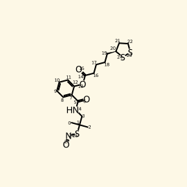 CC(C)(CNC(=O)c1ccccc1OC(=O)CCCC[C@H]1CCSS1)SN=O